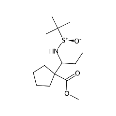 CCC(N[S@+]([O-])C(C)(C)C)C1(C(=O)OC)CCCC1